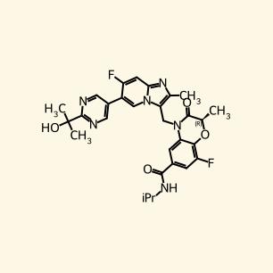 Cc1nc2cc(F)c(-c3cnc(C(C)(C)O)nc3)cn2c1CN1C(=O)[C@@H](C)Oc2c(F)cc(C(=O)NC(C)C)cc21